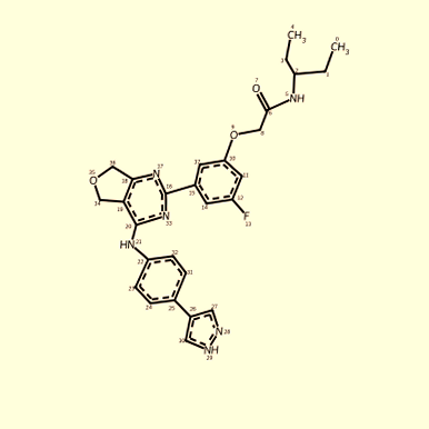 CCC(CC)NC(=O)COc1cc(F)cc(-c2nc3c(c(Nc4ccc(-c5cn[nH]c5)cc4)n2)COC3)c1